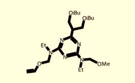 C=COCN(CC)c1nc(C(COCC(C)C)COCC(C)C)nc(N(CC)COC)n1